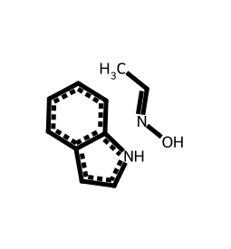 C/C=N/O.c1ccc2[nH]ccc2c1